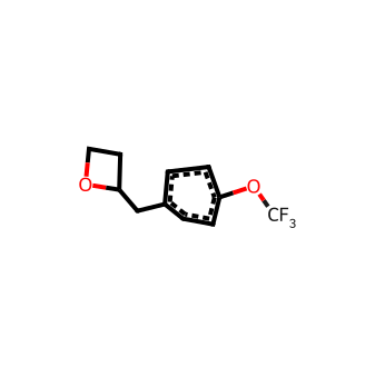 FC(F)(F)Oc1ccc(CC2CCO2)cc1